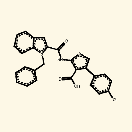 O=C(O)c1c(-c2ccc(Cl)cc2)csc1NC(=O)c1cc2ccccc2n1Cc1ccccc1